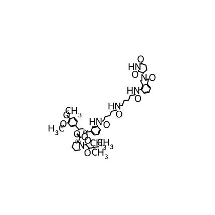 CCC(C)(C)C(=O)C(=O)N1CCCC[C@H]1C(=O)O[C@H](CCc1ccc(OC)c(OC)c1)c1cccc(NC(=O)CCCC(=O)NCCCCC(=O)Nc2cccc3c2CN(C2CCC(=O)NC2=O)C3=O)c1